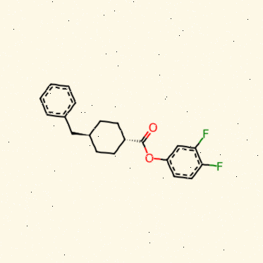 O=C(Oc1ccc(F)c(F)c1)[C@H]1CC[C@H](Cc2ccccc2)CC1